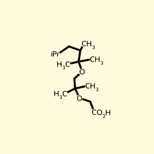 CC(C)CC(C)C(C)(C)OCC(C)(C)OCC(=O)O